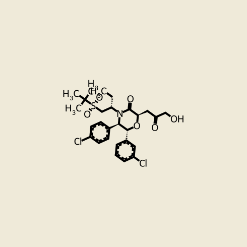 CC[C@@H](CS(=O)(=O)C(C)(C)C)N1C(=O)[C@@H](CC(=O)CO)O[C@H](c2cccc(Cl)c2)[C@H]1c1ccc(Cl)cc1